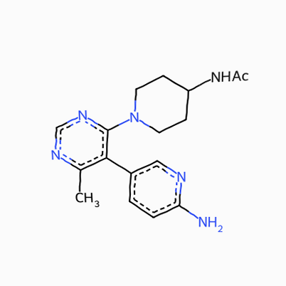 CC(=O)NC1CCN(c2ncnc(C)c2-c2ccc(N)nc2)CC1